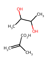 C=C(C)C(=O)O.CC(O)C(C)O